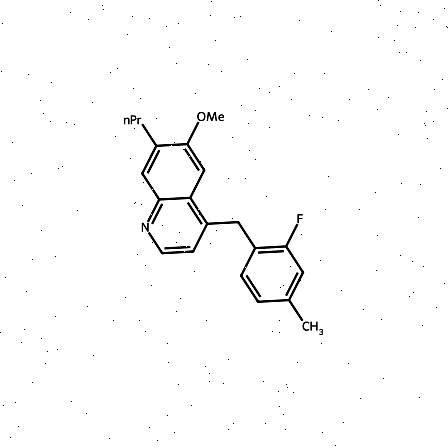 CCCc1cc2nccc(Cc3ccc(C)cc3F)c2cc1OC